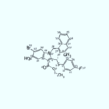 CCOC(=O)c1c(CSc2ccc(F)cc2C)n(Cc2cccc3ccccc23)c2cc(Br)c(O)cc12